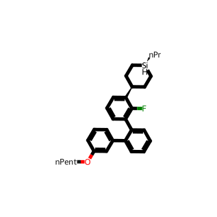 CCCCCOc1cccc(-c2ccccc2-c2cccc([C@H]3CC[Si@H](CCC)CC3)c2F)c1